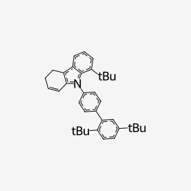 CC(C)(C)c1ccc(C(C)(C)C)c(-c2ccc(-n3c4c(c5cccc(C(C)(C)C)c53)CCC=C4)cc2)c1